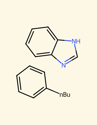 CCCCc1ccccc1.c1ccc2[nH]cnc2c1